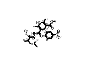 CCO[C@@H](NC(=O)C1=C(C)NC(C)=C(C(=O)OC)[C@@H]1c1cccc([N+](=O)[O-])c1)C(=C=O)C(C)C